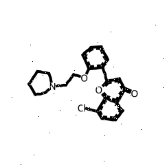 O=c1cc(-c2ccccc2OCCN2CCCCC2)oc2c(Cl)cccc12